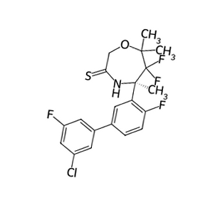 CC1(C)OCC(=S)N[C@](C)(c2cc(-c3cc(F)cc(Cl)c3)ccc2F)C1(F)F